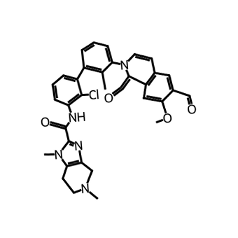 COc1cc2c(cc1C=O)C=CN(c1cccc(-c3cccc(NC(=O)c4nc5c(n4C)CCN(C)C5)c3Cl)c1C)C2=C=O